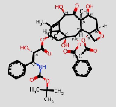 CC(=O)O[C@@]12CO[C@@H]1C[C@H](O)[C@@]1(C)C(=O)[C@H](O)C3=C(C)[C@H](OC(=O)[C@@H](O)[C@@H](NC(=O)OC(C)(C)C)c4ccccc4)C[C@@](O)([C@@H](OC(=O)c4ccccc4)[C@H]21)C3(C)C